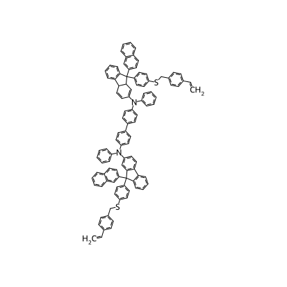 C=Cc1ccc(CSc2ccc(C3(c4ccc5ccccc5c4)c4ccccc4-c4ccc(N(c5ccccc5)c5ccc(-c6ccc(N(C7=CC8C(C=C7)c7ccccc7C8(c7ccc(SCc8ccc(C=C)cc8)cc7)c7ccc8ccccc8c7)c7ccccc7)cc6)cc5)cc43)cc2)cc1